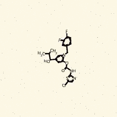 CC(C)C(O)c1cc(OC(=O)Nc2ncc(Cl)s2)n(Cc2ccc(F)c(F)c2)c1